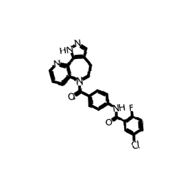 O=C(Nc1ccc(C(=O)N2CCc3cn[nH]c3-c3ncccc32)cc1)c1cc(Cl)ccc1F